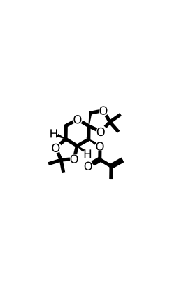 C=C(C)C(=O)O[C@H]1[C@@H]2OC(C)(C)O[C@@H]2CO[C@@]12COC(C)(C)O2